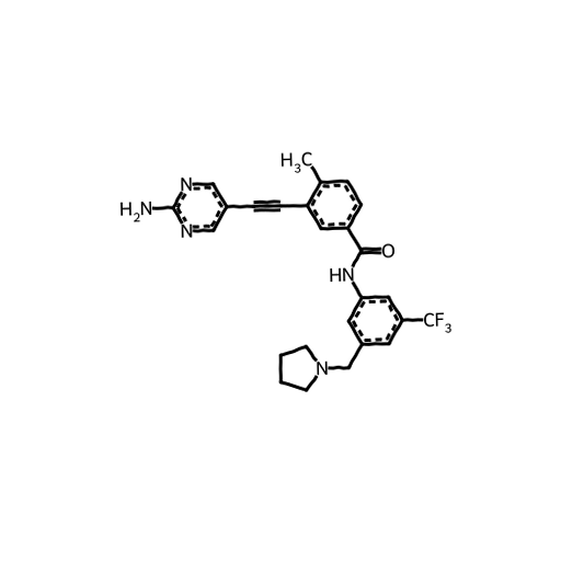 Cc1ccc(C(=O)Nc2cc(CN3CCCC3)cc(C(F)(F)F)c2)cc1C#Cc1cnc(N)nc1